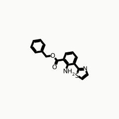 Nc1c(C(=O)OCc2ccccc2)cccc1-c1nccs1